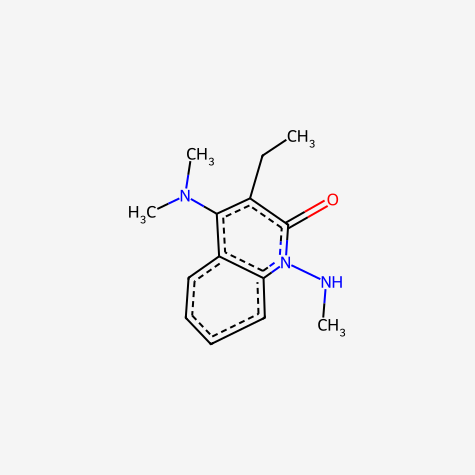 CCc1c(N(C)C)c2ccccc2n(NC)c1=O